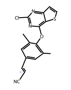 Cc1cc(/C=C/C#N)cc(C)c1Oc1nc(Cl)nc2ccsc12